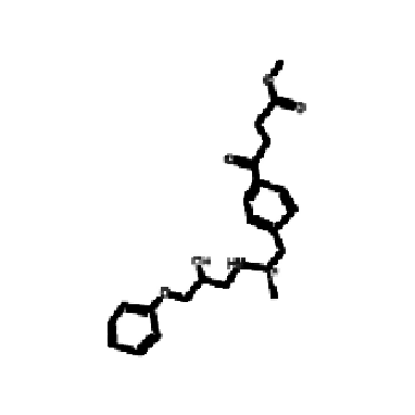 COC(=O)CCC(=O)c1ccc(C[C@@H](C)NCC(O)COc2ccccc2)cc1